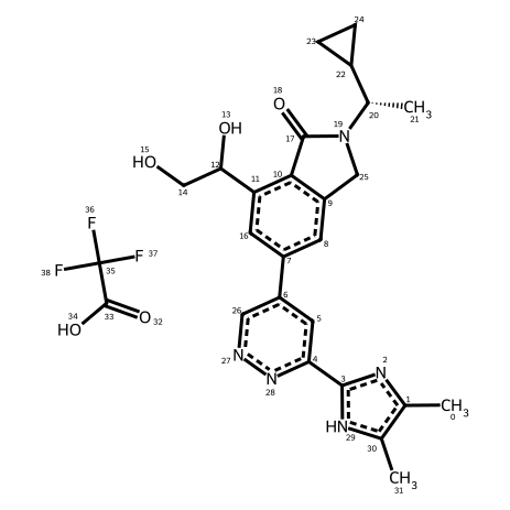 Cc1nc(-c2cc(-c3cc4c(c(C(O)CO)c3)C(=O)N([C@@H](C)C3CC3)C4)cnn2)[nH]c1C.O=C(O)C(F)(F)F